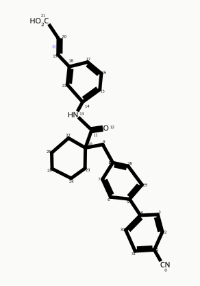 N#Cc1ccc(-c2ccc(CC3(C(=O)Nc4cccc(/C=C/C(=O)O)c4)CCCCC3)cc2)cc1